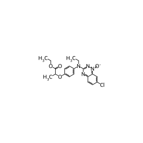 CCOC(=O)C(C)Oc1ccc(N(CC)c2nc3ccc(Cl)cc3[n+]([O-])n2)cc1